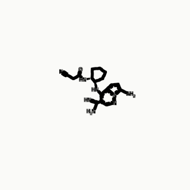 N#CCC(=O)N[C@@H]1CCCC[C@H]1Nc1c(C(=N)N)cnn2c(N)ccc12